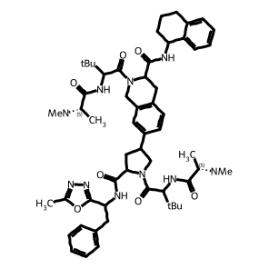 CN[C@@H](C)C(=O)NC(C(=O)N1CC(c2ccc3c(c2)CN(C(=O)C(NC(=O)[C@H](C)NC)C(C)(C)C)C(C(=O)NC2CCCc4ccccc42)C3)CC1C(=O)NC(Cc1ccccc1)c1nnc(C)o1)C(C)(C)C